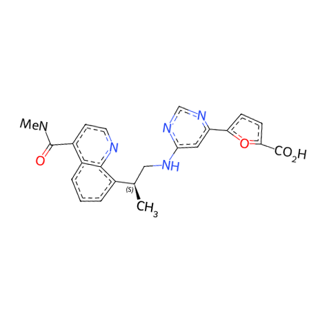 CNC(=O)c1ccnc2c([C@H](C)CNc3cc(-c4ccc(C(=O)O)o4)ncn3)cccc12